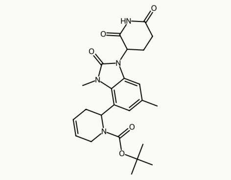 Cc1cc(C2CC=CCN2C(=O)OC(C)(C)C)c2c(c1)n(C1CCC(=O)NC1=O)c(=O)n2C